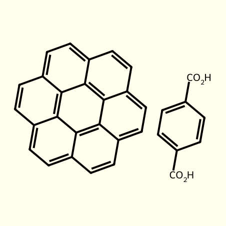 O=C(O)c1ccc(C(=O)O)cc1.c1cc2ccc3ccc4ccc5ccc6ccc1c1c2c3c4c5c61